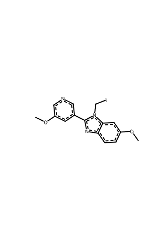 COc1cncc(-c2nc3ccc(OC)cc3n2CI)c1